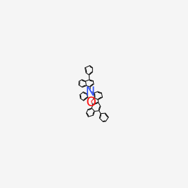 c1ccc(-c2ccc(N(c3ccccc3)c3cccc4c3oc3c5ccccc5c(-c5ccccc5)cc43)c3ccccc23)cc1